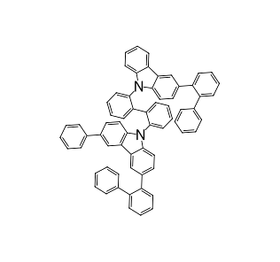 c1ccc(-c2ccc3c(c2)c2cc(-c4ccccc4-c4ccccc4)ccc2n3-c2ccccc2-c2ccccc2-n2c3ccccc3c3cc(-c4ccccc4-c4ccccc4)ccc32)cc1